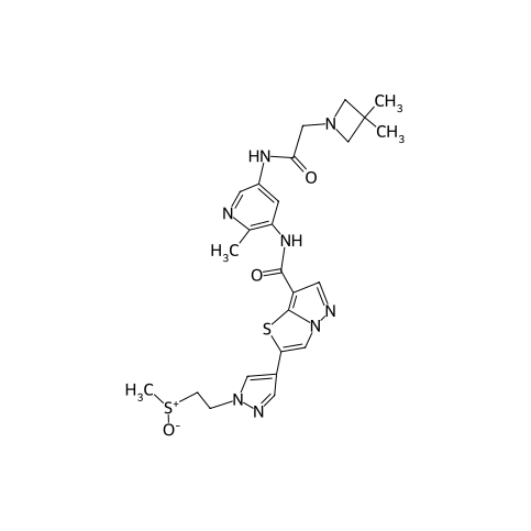 Cc1ncc(NC(=O)CN2CC(C)(C)C2)cc1NC(=O)c1cnn2cc(-c3cnn(CC[S+](C)[O-])c3)sc12